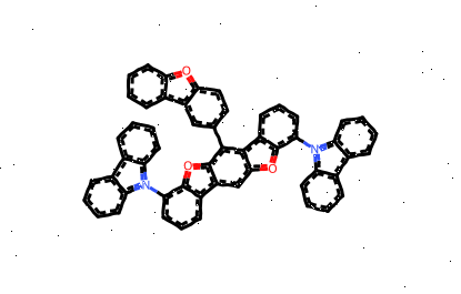 c1ccc2c(c1)oc1ccc(-c3c4oc5c(-n6c7ccccc7c7ccccc76)cccc5c4cc4oc5c(-n6c7ccccc7c7ccccc76)cccc5c34)cc12